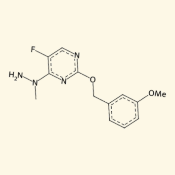 COc1cccc(COc2ncc(F)c(N(C)N)n2)c1